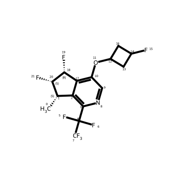 C[C@H]1c2c(C(F)(F)C(F)(F)F)ncc(OC3CC(F)C3)c2[C@@H](F)[C@H]1F